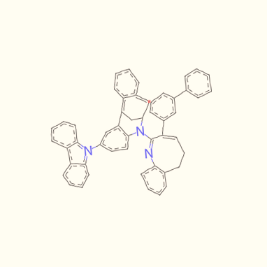 C1=c2ccccc2=C2CC1N(C1=N/c3ccccc3CC/C=C\1c1cccc(-c3ccccc3)c1)c1ccc(-n3c4ccccc4c4ccccc43)cc12